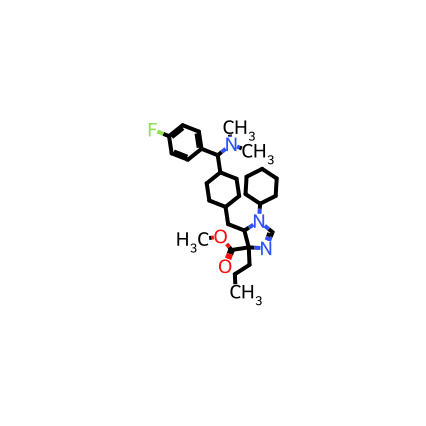 CCCC1(C(=O)OC)N=CN(C2CCCCC2)C1CC1CCC(C(c2ccc(F)cc2)N(C)C)CC1